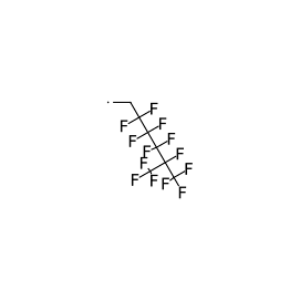 [CH2]CC(F)(F)C(F)(F)C(F)(F)C(F)(C(F)(F)F)C(F)(F)F